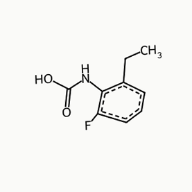 CCc1cccc(F)c1NC(=O)O